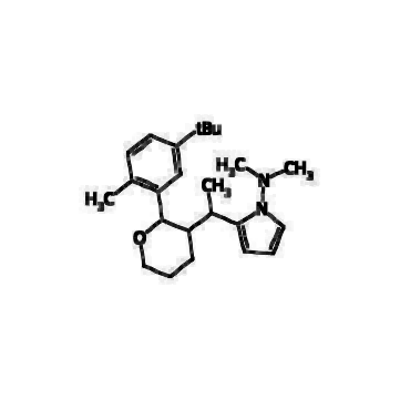 Cc1ccc(C(C)(C)C)cc1C1OCCCC1C(C)c1cccn1N(C)C